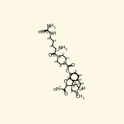 CCCC(=O)C1Oc2c(OC(=O)N3CCN(C(=O)[C@@H](N)CCCNC(=N)N)CC3)ccc3c2[C@]12C[C@@H](C3)N(C)C2